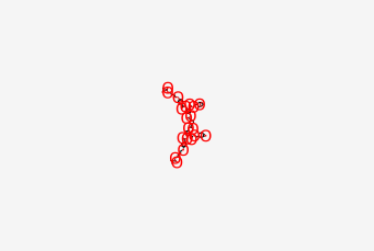 C=C(C)C(=O)OCCCCOc1ccc(C(=O)Oc2ccc(OC(=O)C3CCC(C(=O)Oc4ccc(OC(=O)c5ccc(OCCCCOC(=O)C(C)C)cc5)c(C(=O)OCC5CCC6OC6C5)c4)C3)cc2C(=O)OCC2CC3CC(C2)O3)cc1